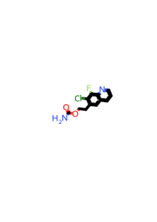 NC(=O)OCCc1cc2cccnc2c(F)c1Cl